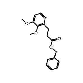 COc1cc[c]c(CCC(=O)OCc2ccccc2)c1OC